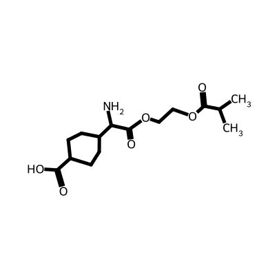 CC(C)C(=O)OCCOC(=O)C(N)C1CCC(C(=O)O)CC1